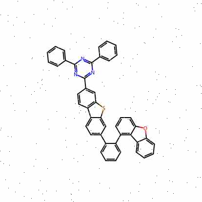 c1ccc(-c2nc(-c3ccccc3)nc(-c3ccc4c(c3)sc3cc(-c5ccccc5-c5cccc6oc7ccccc7c56)ccc34)n2)cc1